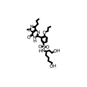 CCCOc1ccc(S(=O)(=O)NC(CCO)CCCCO)cc1-c1nc2c(CCC)nn(C)c2c(=O)[nH]1